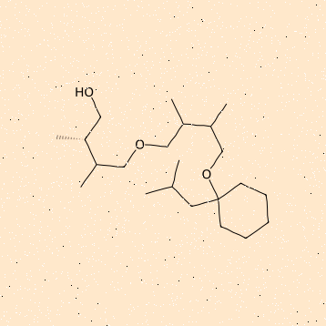 CC(C)CC1(OCC(C)C(C)COCC(C)[C@H](C)CO)CCCCC1